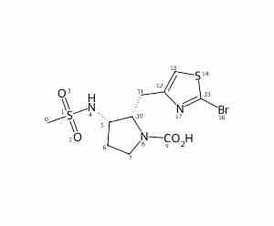 CS(=O)(=O)N[C@H]1CCN(C(=O)O)[C@H]1Cc1csc(Br)n1